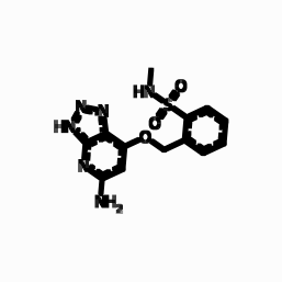 CNS(=O)(=O)c1ccccc1COc1cc(N)nc2[nH]nnc12